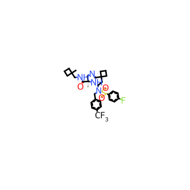 CC1(CNC(=O)[C@@]2(C)CN=C(C3(CCN(Cc4ccc(C(F)(F)F)cc4)S(=O)(=O)c4ccc(F)cc4)CCC3)N2)CCC1